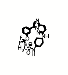 CS(=O)(=O)N[C@H]1CC[C@H](Nc2ccc3ncc(-c4cccc(OC(F)(F)F)c4)n3n2)CC1